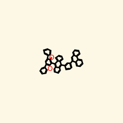 c1cc(-c2c3ccccc3c(-c3c4oc5ccccc5c4cc4c3oc3ccccc34)c3ccccc23)cc(-c2cc3ccccc3c3ccccc23)c1